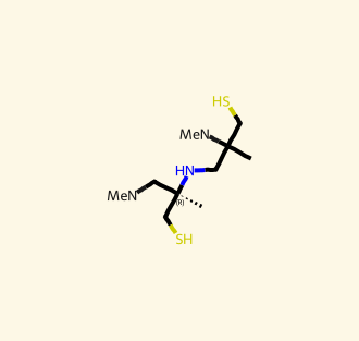 CNC[C@](C)(CS)NCC(C)(CS)NC